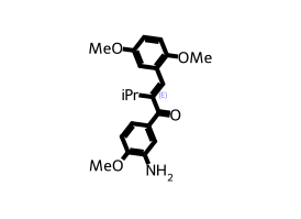 COc1ccc(OC)c(/C=C(/C(=O)c2ccc(OC)c(N)c2)C(C)C)c1